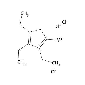 CCC1=C(CC)C(CC)=[C]([V+3])C1.[Cl-].[Cl-].[Cl-]